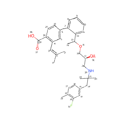 CC(C)=Cc1cc(-c2ccccc2C(C)OC[C@@H](O)CNC(C)(C)Cc2ccc(C)c(F)c2)ccc1C(=O)O